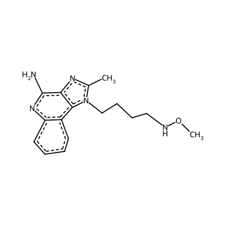 CONCCCCn1c(C)nc2c(N)nc3ccccc3c21